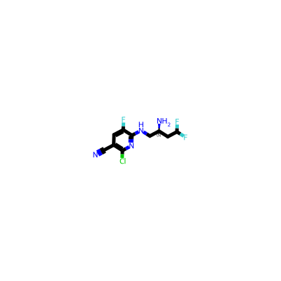 N#Cc1cc(F)c(NC[C@@H](N)CC(F)F)nc1Cl